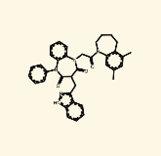 Cc1cc(C)c2c(c1)N(C(=O)CN1C(=O)C(Cc3n[nH]c4ccccc34)C(=O)N(c3ccccc3)c3ccccc31)CCCC2